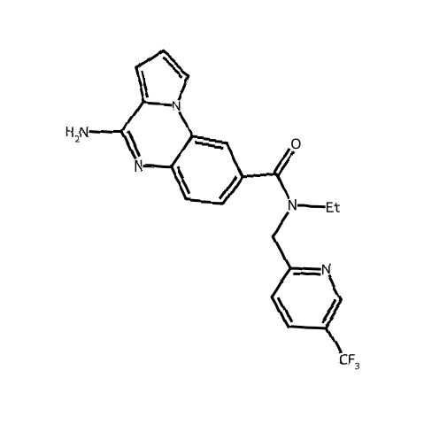 CCN(Cc1ccc(C(F)(F)F)cn1)C(=O)c1ccc2nc(N)c3cccn3c2c1